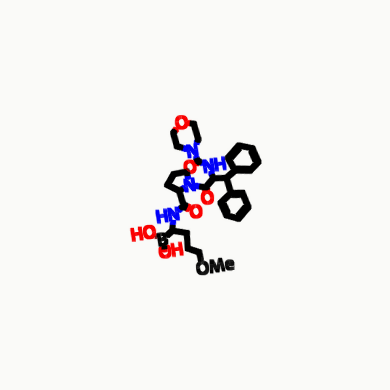 COCCCC(NC(=O)C1CCCN1C(=O)C(NC(=O)N1CCOCC1)C(c1ccccc1)c1ccccc1)B(O)O